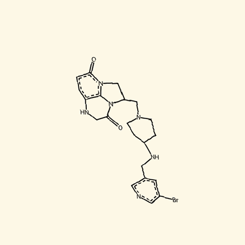 O=C1CNc2ccc(=O)n3c2N1C(CN1CCC(NCc2cncc(Br)c2)CC1)C3